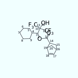 O=C(OC(C1CCCCC1)C(O)(C(F)(F)F)C(F)(F)F)C1CC2C=CC1C2